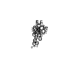 CC(C)OC(=O)OCOc1c2n(ccc1=O)N([C@@H]1c3ccccc3[Se]Cc3c1ccc(F)c3F)[C@@H]1COCCN1C2=O